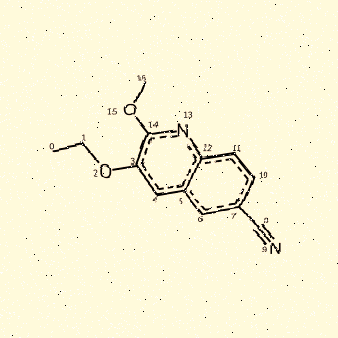 CCOc1cc2cc(C#N)ccc2nc1OC